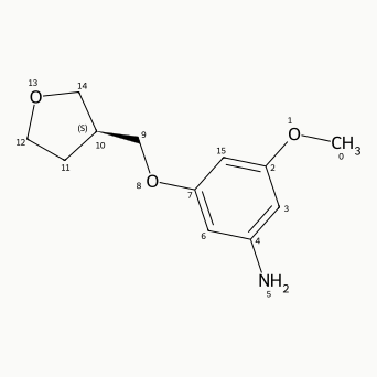 COc1cc(N)cc(OC[C@H]2CCOC2)c1